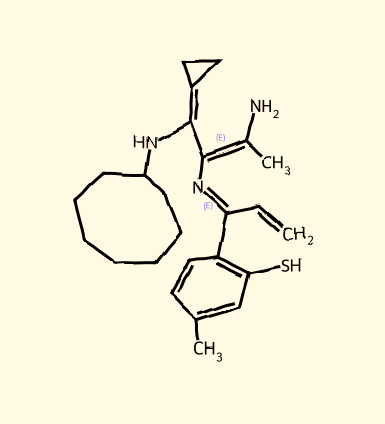 C=C/C(=N\C(C(NC1CCCCCCC1)=C1CC1)=C(/C)N)c1ccc(C)cc1S